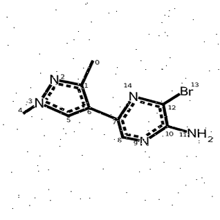 Cc1nn(C)cc1-c1cnc(N)c(Br)n1